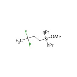 CCC[Si](CCC)(CCC(F)(F)C(F)(F)F)OC